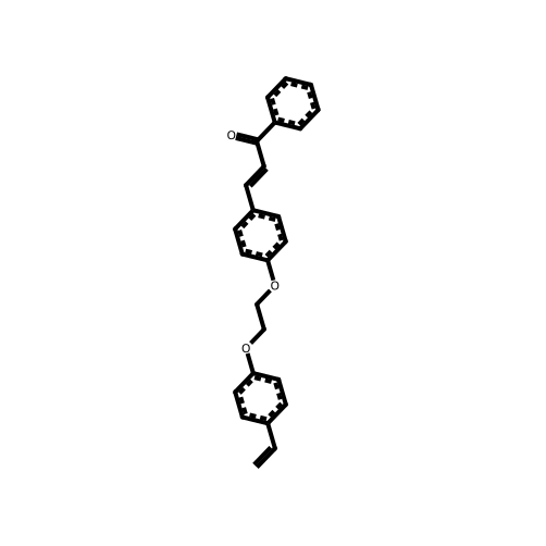 C=Cc1ccc(OCCOc2ccc(/C=C/C(=O)c3ccccc3)cc2)cc1